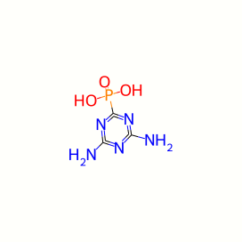 Nc1nc(N)nc(P(=O)(O)O)n1